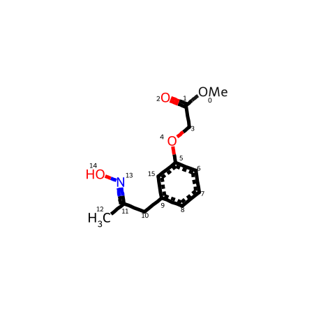 COC(=O)COc1cccc(CC(C)=NO)c1